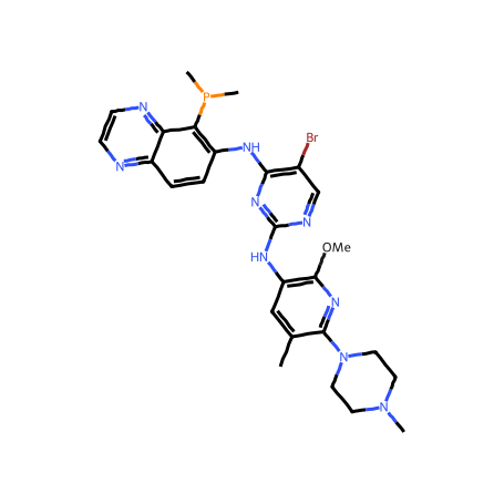 COc1nc(N2CCN(C)CC2)c(C)cc1Nc1ncc(Br)c(Nc2ccc3nccnc3c2P(C)C)n1